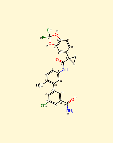 Cc1ccc(NC(=O)C2(c3ccc4c(c3)OC(F)(F)O4)CC2)cc1-c1cc(Cl)cc(C(N)=O)c1